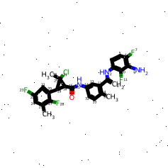 C=C(Nc1ccc(F)c(N)c1F)c1cc(NC(=O)C2C(c3cc(F)cc(C)c3F)C2(C)Cl)ccc1C